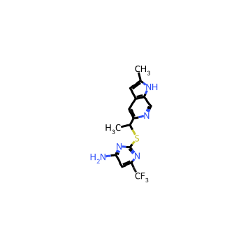 Cc1cc2cc(C(C)Sc3nc(N)cc(C(F)(F)F)n3)ncc2[nH]1